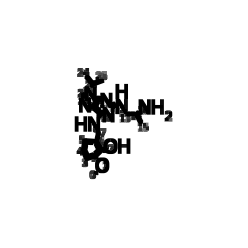 COc1cccc(CNc2nc(NCC(C)N)nc3c2ncn3C(C)C)c1O